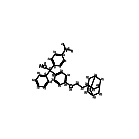 CN(C)c1ccc(C(O)(c2ccccc2)c2ccc(OCCC34CC5CC(CC(C5)C3)C4)cc2)cc1